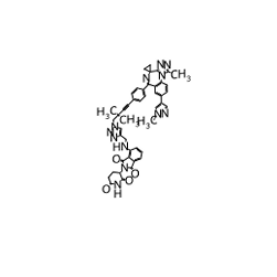 Cc1nnc2n1-c1ccc(-c3cnn(C)c3)cc1C(c1ccc(C#CC(C)(C)Cn3cc(CNc4cccc5c4C(=O)N(C4CCC(=O)NC4=O)C5=O)nn3)cc1)=NC21CC1